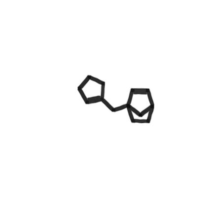 C1=CC2(CC3=CCCC3)CCC1C2